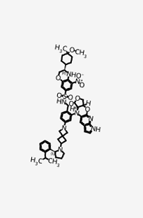 COC1(C)CCC([C@@H]2COc3cc(S(=O)(=O)NC(=O)c4ccc(N5CC6(CC(N7CCC[C@H]7c7ccccc7C(C)C)C6)C5)cc4N4c5cc6cc[nH]c6nc5O[C@H]5COC[C@@H]54)cc([N+](=O)[O-])c3N2)CC1